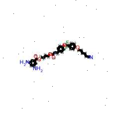 N#CCCCCCOc1ccc(C(F)(F)Oc2ccc(/C=C/C(=O)OCCCCOC(=O)c3cc(N)cc(N)c3)cc2)cc1